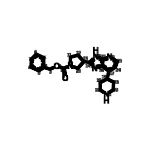 O=C(OCc1ccccc1)N1CCC(c2nc3c(C4CCNCC4)ccnc3[nH]2)C1